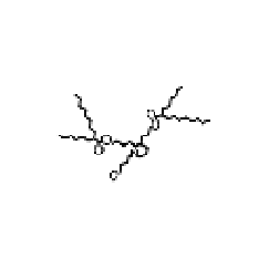 CCCCCCCCC(CCCCCC)C(=O)OCCCCC1C(CCCOC(=O)C(CCCCCC)CCCCCCCC)CCCN1CCCCOC